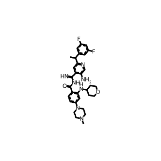 CC(c1cc(F)cc(F)c1)c1cc(C(=N)NC(=O)c2ccc(N3CCN(C)CC3)cc2NC2CCOCC2)c(N)cn1